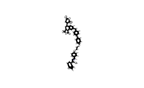 O=C1CC(C2CC3C(=O)OC(=O)C3c3cc(Cc4ccc(-c5ccc(OCCOc6ccc(/C=C/C(=O)c7ccccc7)cc6)cc5)cc4)ccc32)C(=O)O1